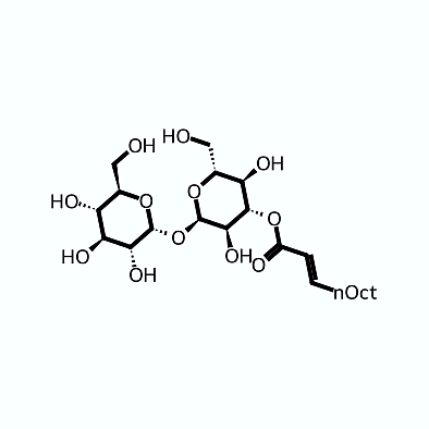 CCCCCCCCC=CC(=O)O[C@@H]1[C@@H](O)[C@@H](O[C@H]2O[C@H](CO)[C@@H](O)[C@H](O)[C@H]2O)O[C@H](CO)[C@H]1O